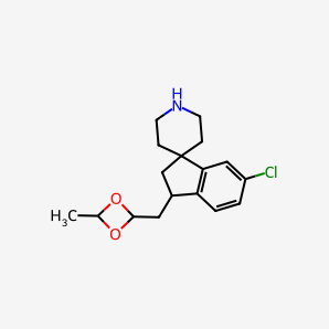 CC1OC(CC2CC3(CCNCC3)c3cc(Cl)ccc32)O1